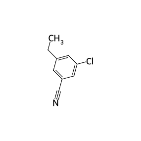 CCc1cc(Cl)cc(C#N)c1